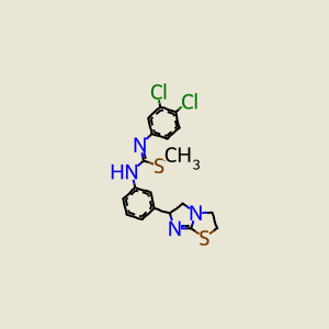 CSC(=Nc1ccc(Cl)c(Cl)c1)Nc1cccc(C2CN3CCSC3=N2)c1